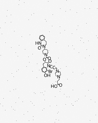 O=C(O)CCN1CCN(C=C=C=NC(=O)[C@@H](Cc2ccc(O)c(Br)c2)OC(=O)N2CCC(N3CCc4ccccc4NC3=O)CC2)CC1